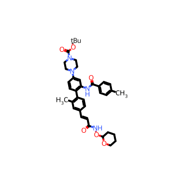 Cc1ccc(C(=O)Nc2cc(N3CCN(C(=O)OC(C)(C)C)CC3)ccc2-c2ccc(/C=C/C(=O)NOC3CCCCO3)cc2C)cc1